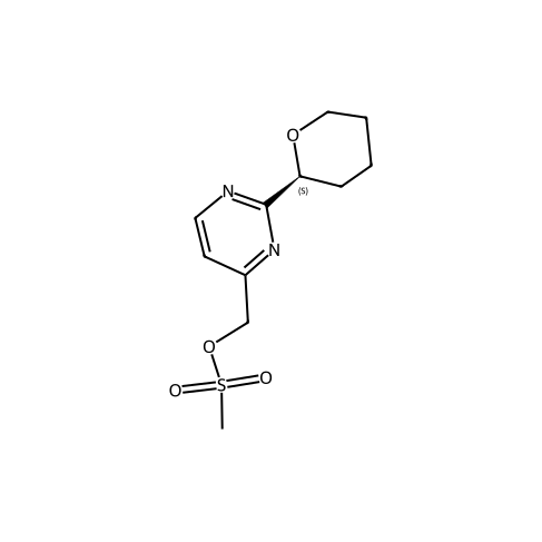 CS(=O)(=O)OCc1ccnc([C@@H]2CCCCO2)n1